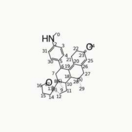 CNc1ccc(C2C[C@@]3(C)C(CC[C@@]34CCCO4)C3C2=C2CCC(=O)C=C2C[C@@H]3C)cc1